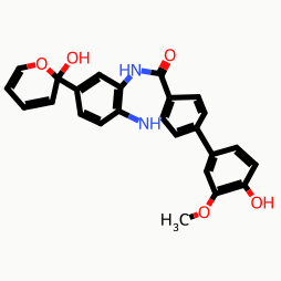 COc1cc(-c2ccc3c(c2)Nc2ccc(C4(O)C=CC=CO4)cc2NC3=O)ccc1O